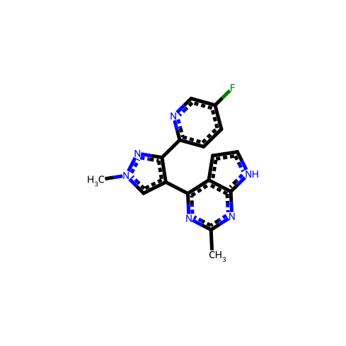 Cc1nc(-c2cn(C)nc2-c2ccc(F)cn2)c2cc[nH]c2n1